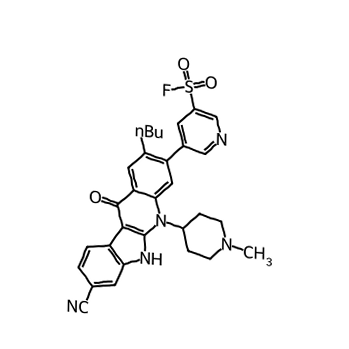 CCCCc1cc2c(=O)c3c4ccc(C#N)cc4[nH]c3n(C3CCN(C)CC3)c2cc1-c1cncc(S(=O)(=O)F)c1